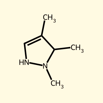 CC1=CNN(C)C1C